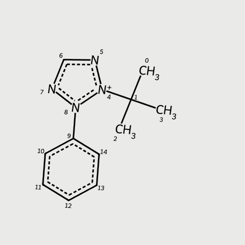 CC(C)(C)[n+]1ncnn1-c1ccccc1